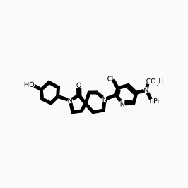 CCCN(C(=O)O)c1cnc(N2CCC3(CC2)CCN(C2CCC(O)CC2)C3=O)c(Cl)c1